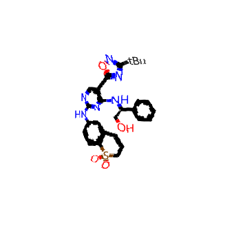 CC(C)(C)c1noc(-c2cnc(Nc3ccc4c(c3)C=CCS4(=O)=O)nc2N[C@H](CO)c2ccccc2)n1